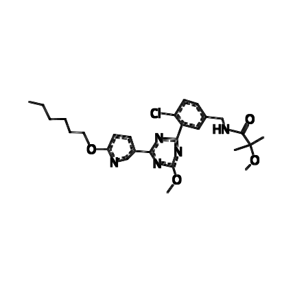 CCCCCCOc1ccc(-c2nc(OC)nc(-c3cc(CNC(=O)C(C)(C)OC)ccc3Cl)n2)cn1